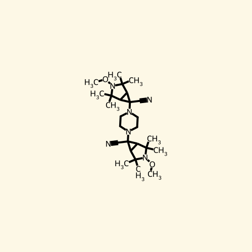 CON1C(C)(C)C2C(C1(C)C)C2(C#N)N1CCN(C2(C#N)C3C2C(C)(C)N(OC)C3(C)C)CC1